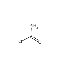 [O]=[V]([SiH3])[Cl]